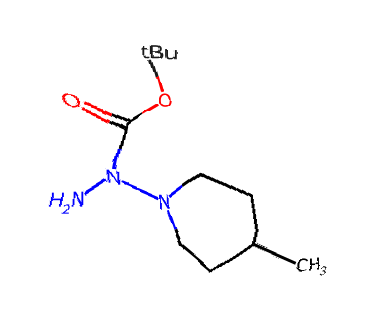 CC1CCN(N(N)C(=O)OC(C)(C)C)CC1